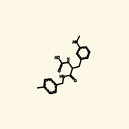 CNc1cccc(CC(NC(=O)O)C(=O)NCc2ccc(C)cc2)c1